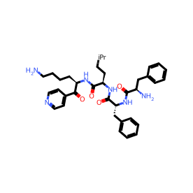 CC(C)CC[C@@H](NC(=O)[C@@H](Cc1ccccc1)NC(=O)[C@H](N)Cc1ccccc1)C(=O)N[C@H](CCCCN)C(=O)c1ccncc1